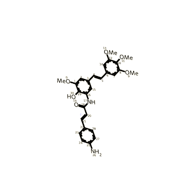 COc1cc(C=Cc2cc(OC)c(OC)c(OC)c2)cc(NC(=O)/C=C/c2ccc(N)cc2)c1O